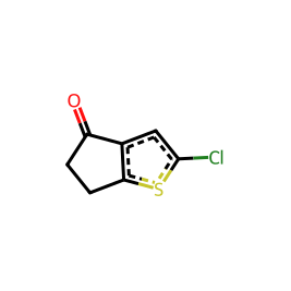 O=C1CCc2sc(Cl)cc21